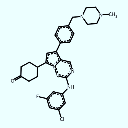 CN1CCN(Cc2ccc(-c3cc(C4CCC(=O)CC4)n4nc(Nc5cc(F)cc(Cl)c5)ncc34)cc2)CC1